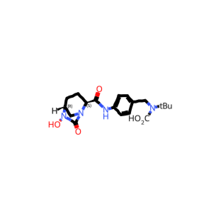 CC(C)(C)N(Cc1ccc(NC(=O)[C@@H]2CC[C@@H]3CN2C(=O)N3O)cc1)C(=O)O